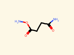 NOC(=O)CCC(N)=O